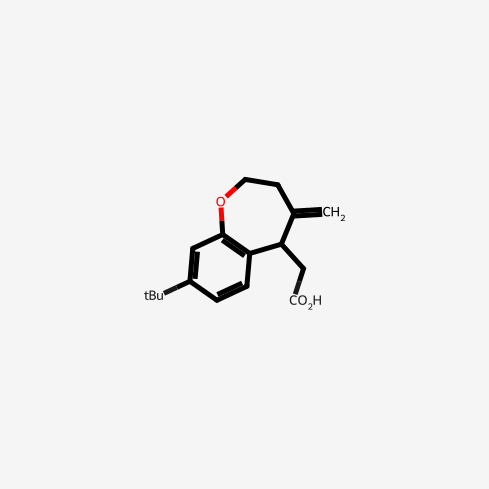 C=C1CCOc2cc(C(C)(C)C)ccc2C1CC(=O)O